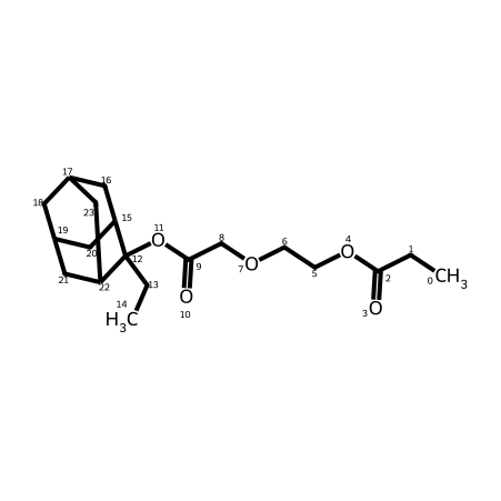 CCC(=O)OCCOCC(=O)OC1(CC)C2CC3CC(C2)CC1C3